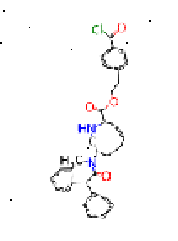 CN(C(=O)C(c1ccccc1)c1ccccc1)[C@H]1CC/C=C\[C@H](C(=O)OCCc2ccc(C(=O)Cl)cc2)NC1